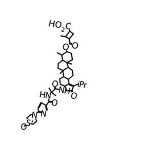 CC(C)C1=C2C3CCC4C(C)(CCC5C(C)C(OC(=O)C6CC(C(=O)O)C6C)CCC54C)C3CCC2(NC(=O)C(C)(C)NC(=O)c2ccc(N3CC[S+]([O-])CC3)nc2)CC1=O